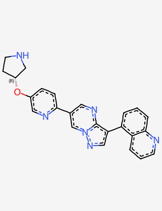 c1cc(-c2cnn3cc(-c4ccc(O[C@@H]5CCNC5)cn4)cnc23)c2cccnc2c1